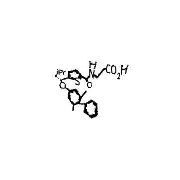 Cc1cc(O[C@H](CC(C)C)c2ccc(C(=O)NCCC(=O)O)s2)cc(C)c1-c1ccccc1